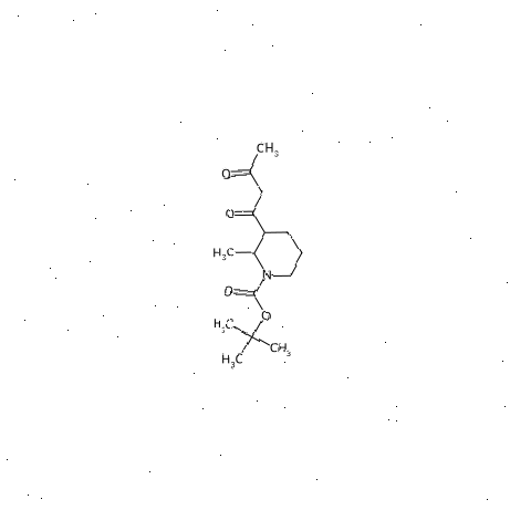 CC(=O)CC(=O)C1CCCN(C(=O)OC(C)(C)C)C1C